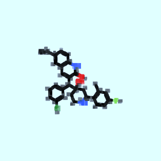 CSc1ccc2[nH]c(=O)c(C(c3cccc(Cl)c3)C3(O)CCNC(c4ccc(F)cc4C)C3)cc2c1